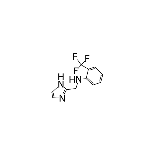 FC(F)(F)c1ccccc1NCc1ncc[nH]1